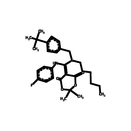 CCCCCCN(Cc1ccc(C(C)(C)C)cc1)C(Nc1ccc(F)cc1)=C1C(=O)OC(C)(C)OC1=O